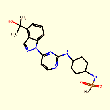 CC(C)(O)c1cccc2c1cnn2-c1ccnc(NC2CCC(NS(C)(=O)=O)CC2)n1